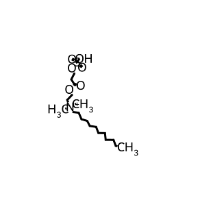 CCCCCCCCCCCC[N+](C)(C)CCOC(=O)CCOS(=O)(=O)O